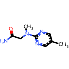 Cc1cnc(N(C)CC(N)=O)nc1